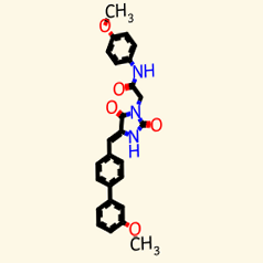 COc1ccc(NC(=O)CN2C(=O)N/C(=C\c3ccc(-c4cccc(OC)c4)cc3)C2=O)cc1